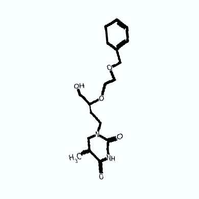 CC1CN(CC[C@@H](CO)OCCOCC2=CC=CCC2)C(=O)NC1=O